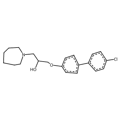 OC(COc1ccc(-c2ccc(Cl)cc2)cc1)CN1CCCCCC1